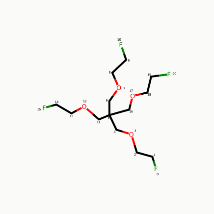 FCCOCC(COCCF)(COCCF)COCCF